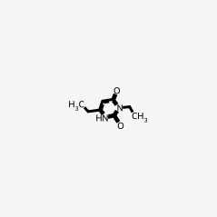 CCc1cc(=O)n(CC)c(=O)[nH]1